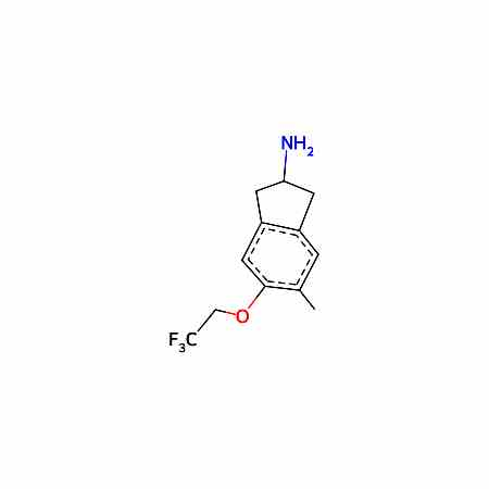 Cc1cc2c(cc1OCC(F)(F)F)CC(N)C2